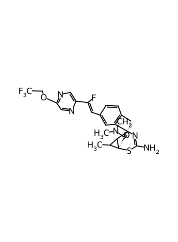 CC1C2[C@@]1(C(=O)N(C)C)SC(N)=N[C@@]21Cc2ccc(/C=C(\F)c3cnc(OCC(F)(F)F)cn3)cc21